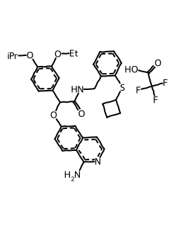 CCOc1cc(C(Oc2ccc3c(N)nccc3c2)C(=O)NCc2ccccc2SC2CCC2)ccc1OC(C)C.O=C(O)C(F)(F)F